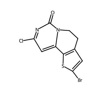 O=c1nc(Cl)cc2n1CCc1cc(Br)sc1-2